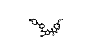 COc1ccc(NS(=O)(=O)c2cc(Cl)c(Oc3cccc(N4CCNCC4)c3)s2)cc1